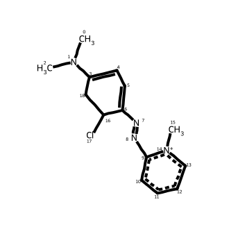 CN(C)C1=CC=C(/N=N/c2cccc[n+]2C)C(Cl)C1